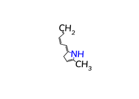 C=C/C=C\C=C1/CC=C(C)N1